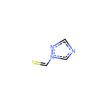 S=Cn1cncn1